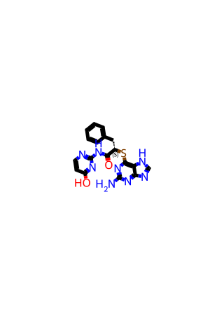 Nc1nc(S[C@@H](Cc2ccccc2)C(=O)Nc2nccc(O)n2)c2[nH]cnc2n1